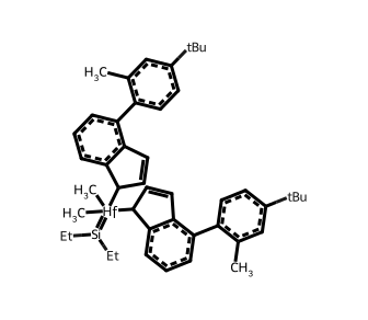 CC[Si](CC)=[Hf]([CH3])([CH3])([CH]1C=Cc2c(-c3ccc(C(C)(C)C)cc3C)cccc21)[CH]1C=Cc2c(-c3ccc(C(C)(C)C)cc3C)cccc21